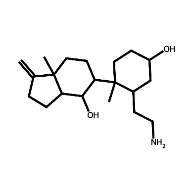 C=C1CCC2C(O)C(C3(C)CCC(O)CC3CCN)CCC12C